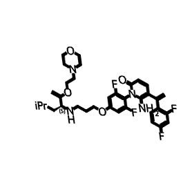 C=C(c1ccc(F)cc1F)c1ccc(=O)n(-c2c(F)cc(OCCCN[C@@H](CC(C)C)C(=C)OCCN3CCOCC3)cc2F)c1N